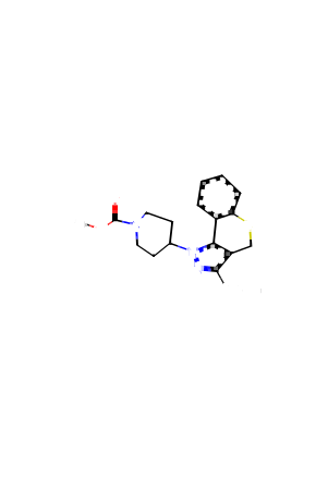 CCOC(=O)c1nn(C2CCN(C(=O)OC(C)(C)C)CC2)c2c1CSc1ccccc1-2